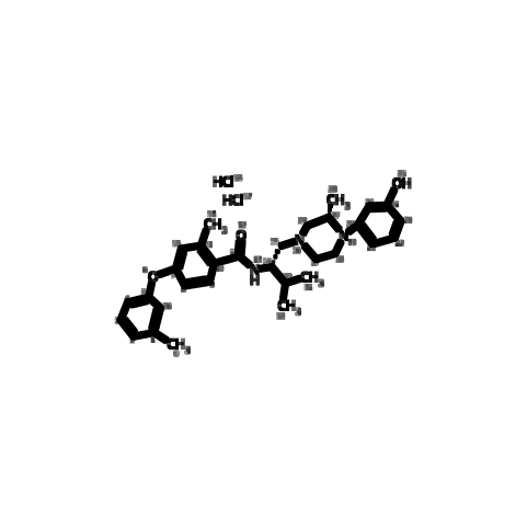 Cc1cccc(Oc2ccc(C(=O)N[C@H](CN3CCN(c4cccc(O)c4)[C@@H](C)C3)C(C)C)c(C)c2)c1.Cl.Cl